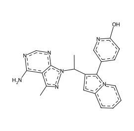 Cc1nn(C(C)c2cc3ccccn3c2-c2ccc(O)nc2)c2ncnc(N)c12